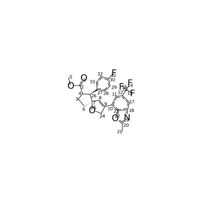 COC(=O)C1CC[C@@]2(C=C(c3cc(C(F)(F)F)cc4nc(C)oc34)CO2)[C@@H]1c1ccc(F)cc1